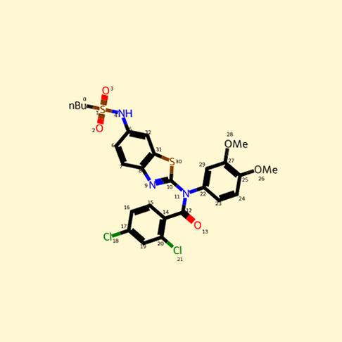 CCCCS(=O)(=O)Nc1ccc2nc(N(C(=O)c3ccc(Cl)cc3Cl)c3ccc(OC)c(OC)c3)sc2c1